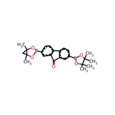 CC1(C)OB(c2ccc3c(c2)C(=O)c2cc(B4OC5(C)CC5(C)O4)ccc2-3)OC1(C)C